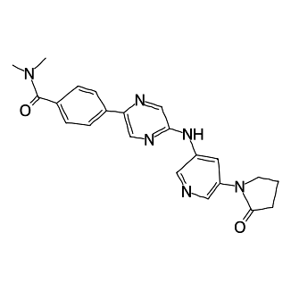 CN(C)C(=O)c1ccc(-c2cnc(Nc3cncc(N4CCCC4=O)c3)cn2)cc1